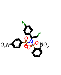 O=[N+]([O-])c1ccc(S(=O)(=O)N(C(CF)c2ccc(F)cc2)S(=O)(=O)c2ccccc2[N+](=O)[O-])cc1